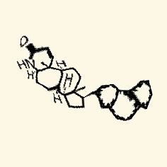 C[C@]12C=CC(=O)N[C@@H]1CC[C@@H]1[C@@H]2CC[C@]2(C)[C@@H](c3ccc4c(ccc5ccccc54)c3)CC[C@@H]12